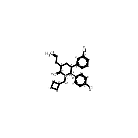 C=CCC1CC(c2cccc(Cl)c2)[C@@H](c2ccc(Cl)cc2)N(CC2CCC2)C1=O